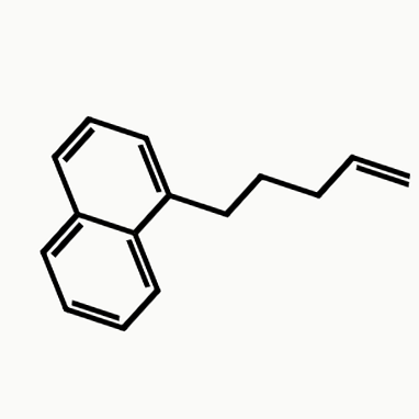 C=CCCCc1cccc2ccccc12